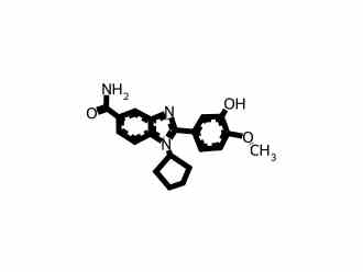 COc1ccc(-c2nc3cc(C(N)=O)ccc3n2C2CCCC2)cc1O